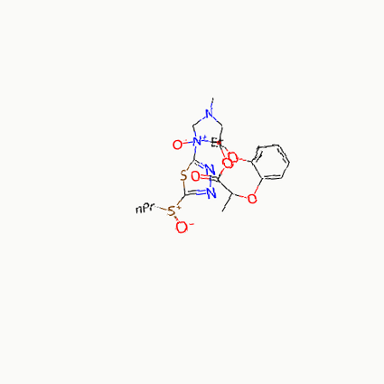 CCC[S+]([O-])c1nnc([N+]2([O-])CN(C)CC2OC(=O)C(C)Oc2ccccc2OCC)s1